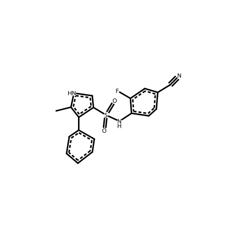 Cc1[nH]cc(S(=O)(=O)Nc2ccc(C#N)cc2F)c1-c1ccccc1